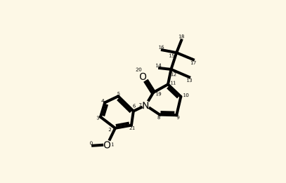 COc1cccc(-n2cccc(C(C)(C)C(C)(C)C)c2=O)c1